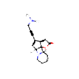 CCN(CC)CC#CC1=C[C@H]2N3CCCC[C@@H]3C23OC(=O)C=C13